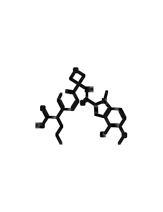 C=C(/C=C\C(=C/C)C(CCC)C(=O)O)C1(NC(=O)c2cc3c(Cl)c(OC)ccc3n2C)COC1